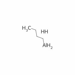 CCC[CH2][AlH2].[HH]